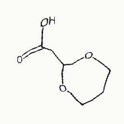 O=C(O)C1OCCCO1